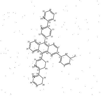 CC1C=CC=C(c2ccc3c(-c4ccc(-c5ccccn5)nc4)c4ccccc4c(C4=CN=C(C5=NC=CCC5)CC4)c3c2)C1